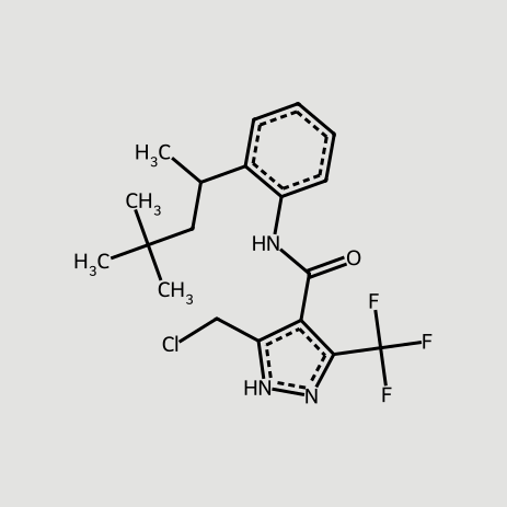 CC(CC(C)(C)C)c1ccccc1NC(=O)c1c(C(F)(F)F)n[nH]c1CCl